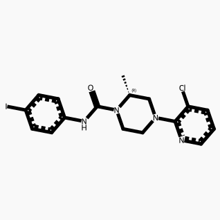 C[C@@H]1CN(c2ncccc2Cl)CCN1C(=O)Nc1ccc(I)cc1